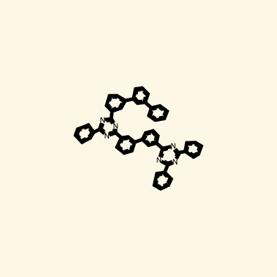 c1ccc(-c2cccc(-c3cccc(-c4nc(-c5ccccc5)nc(-c5cccc(-c6cccc(-c7nc(-c8ccccc8)nc(-c8ccccc8)n7)c6)c5)n4)c3)c2)cc1